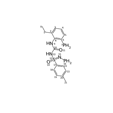 CCc1cccc(P)c1NC(=O)NS(=O)(=NP)c1ccc(C)cc1